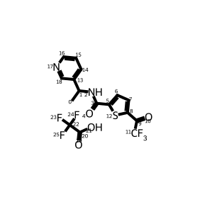 CC(NC(=O)c1ccc(C(=O)C(F)(F)F)s1)c1cccnc1.O=C(O)C(F)(F)F